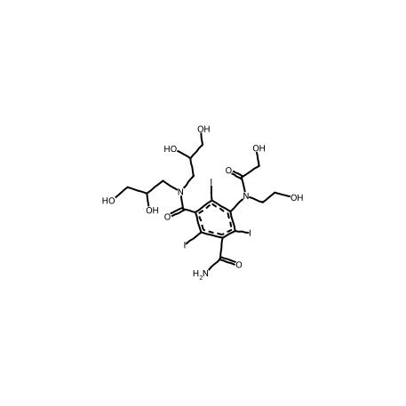 NC(=O)c1c(I)c(C(=O)N(CC(O)CO)CC(O)CO)c(I)c(N(CCO)C(=O)CO)c1I